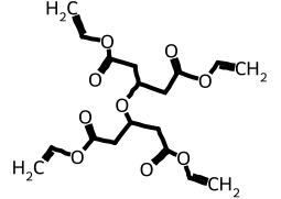 C=COC(=O)CC(CC(=O)OC=C)OC(CC(=O)OC=C)CC(=O)OC=C